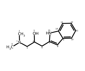 CN(C)CC(O)Cc1[c]c2ccccc2[nH]1